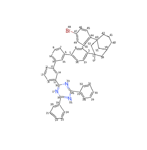 CC1(c2ccc(-c3cccc(-c4cccc(-c5nc(-c6ccccc6)nc(-c6ccccc6)n5)c4)c3)cc2)CC2CCCC(c3ccc(Br)cc3)(C2)C1